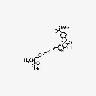 COC(=O)c1ccc2c(c1)C[C@@]1(C2)C(=O)Nc2ncc(/C=C/COCCOCCN(C)C(=O)OC(C)(C)C)cc21